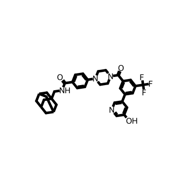 O=C(NCC12CC3CC(CC(C3)C1)C2)c1ccc(N2CCN(C(=O)c3cc(-c4cncc(O)c4)cc(C(F)(F)F)c3)CC2)cc1